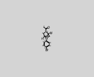 CC(=O)N1C[C@@H]2C[C@H]1CN2c1ccc(Br)cc1